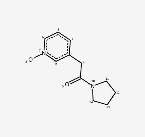 O=C(Cc1ccc[n+]([O-])c1)N1CCCC1